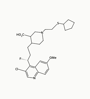 COc1ccc2ncc(Cl)c([C@H](F)CCC3CCN(CCSC4CCCC4)CC3C(=O)O)c2c1